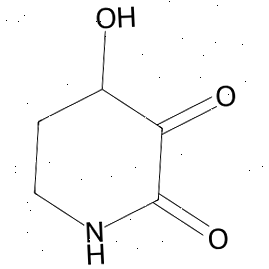 O=C1NCCC(O)C1=O